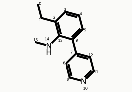 CCc1cccc(-c2ccncc2)c1NC